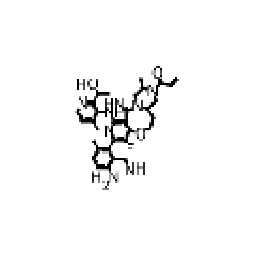 C=CC(=O)N1CC2CCOc3c(F)c(-c4c(C)ccc(N)c4C=N)nc(Nc4c(C)ccnc4C(C)O)c3C(=N)N2CC1C